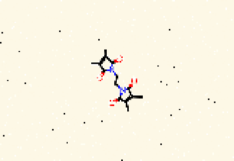 CC1=C(C)C(=O)N(CCN2C(=O)C(C)=C(C)C2=O)C1=O